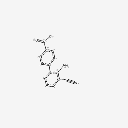 N#Cc1cccc(-c2ccc([N+](=O)[O-])cc2)c1N